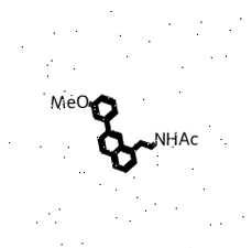 COc1cccc(-c2ccc3cccc(CCNC(C)=O)c3c2)c1